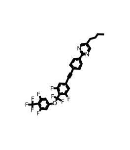 CCCCc1cnc(-c2ccc(C#Cc3cc(F)c(C(F)(F)Oc4cc(F)c(C(F)(F)F)c(F)c4)c(F)c3)cc2)nc1